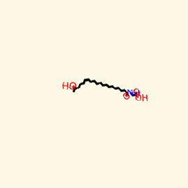 CC(O)CCC/C=C\CCCCCCCCCCCCC(=O)NCC(=O)O